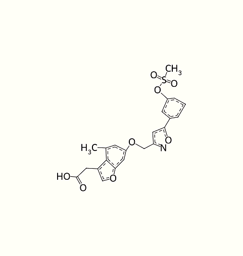 Cc1cc(OCc2cc(-c3cccc(OS(C)(=O)=O)c3)on2)cc2occ(CC(=O)O)c12